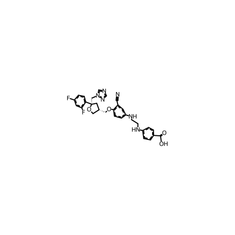 N#Cc1cc(NCCNc2ccc(C(=O)O)cc2)ccc1OC[C@@H]1CO[C@@](Cn2cncn2)(c2ccc(F)cc2F)C1